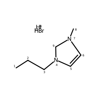 Br.CCCN1C=CN(C)C1.I